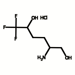 Cl.NC(CO)CCC(O)C(F)(F)F